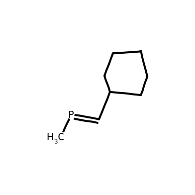 C/P=C/C1CCCCC1